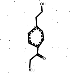 CC(C)(C)CC(=O)c1ccc(CCO)cc1